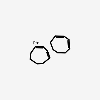 C1=CCCCCC=C1.C1=CCCCCC=C1.[Rh]